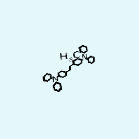 Cc1ccccc1N(c1ccccc1)c1ccc(/C=C/c2ccc(N(c3ccccc3)c3ccccc3)cc2)cc1